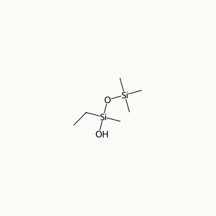 CC[Si](C)(O)O[Si](C)(C)C